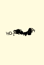 CC(C)N1CCN(c2ccc(-c3ccc(S(=O)(=O)N4CCN(C(=O)O)CC4)cc3)cn2)CC1